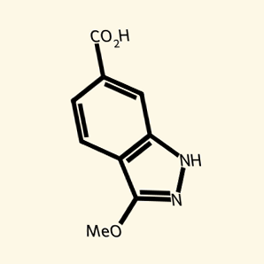 COc1n[nH]c2cc(C(=O)O)ccc12